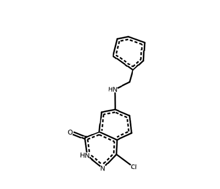 O=c1[nH]nc(Cl)c2ccc(NCc3ccccc3)cc12